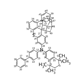 CC1(C)CCC(C)(C)c2cc(N(c3ccc(-c4ccccc4)cc3)c3ccc4c(c3)Sc3cccc(-c5ccccc5)c3C43C4CC5CC6CC3C64C5)ccc21